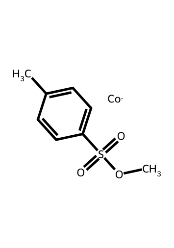 COS(=O)(=O)c1ccc(C)cc1.[Co]